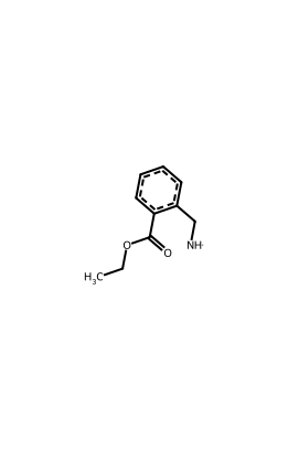 CCOC(=O)c1ccccc1C[NH]